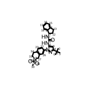 CC(C)(C)c1cc(NC(=O)N[C@H]2CCc3ccccc32)n(-c2ccc3c(c2)CN(S(C)(=O)=O)CC3)n1